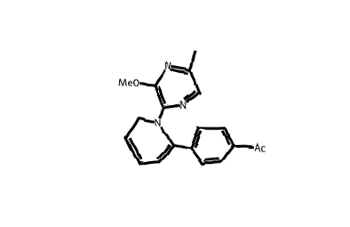 COc1nc(C)cnc1N1CC=CC=C1c1ccc(C(C)=O)cc1